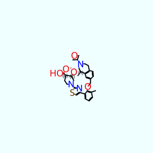 CO[C@H]1CN(c2nc(-c3cccc(C)c3OCc3ccc4c(c3)[C@@H](C)CN(C3COC3)CC4)cs2)CC[C@H]1C(=O)O